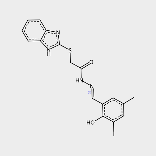 Cc1cc(I)c(O)c(/C=N/NC(=O)CSc2nc3ccccc3[nH]2)c1